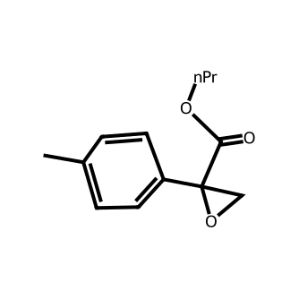 CCCOC(=O)C1(c2ccc(C)cc2)CO1